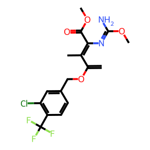 C=C(OCc1ccc(C(F)(F)F)c(Cl)c1)/C(C)=C(\N=C(/N)OC)C(=O)OC